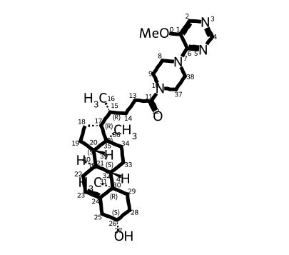 COc1cncnc1N1CCN(C(=O)CC[C@@H](C)[C@H]2CC[C@H]3[C@@H]4CC=C5C[C@@H](O)CC[C@]5(C)[C@H]4CC[C@]23C)CC1